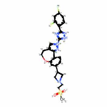 CS(=O)(=O)CCN1CC(c2ccc3c(c2)OCCc2cn(-c4nc(-c5ccc(F)cc5F)n[nH]4)nc2-3)C1